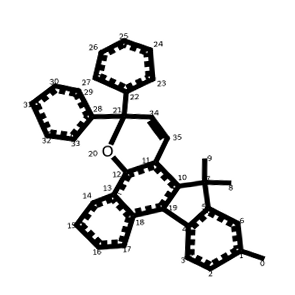 Cc1ccc2c(c1)C(C)(C)c1c3c(c4ccccc4c1-2)OC(c1ccccc1)(c1ccccc1)C=C3